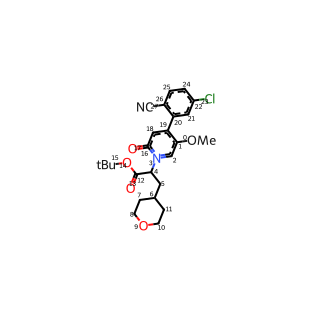 COc1cn(C(CC2CCOCC2)C(=O)OC(C)(C)C)c(=O)cc1-c1cc(Cl)ccc1C#N